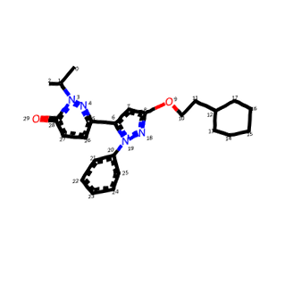 CC(C)n1nc(-c2cc(OCCC3CCCCC3)nn2-c2ccccc2)ccc1=O